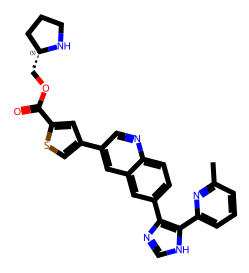 Cc1cccc(-c2[nH]cnc2-c2ccc3ncc(-c4csc(C(=O)OC[C@@H]5CCCN5)c4)cc3c2)n1